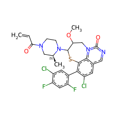 C=CC(=O)N1CCN(C2Sc3c(-c4cc(Cl)c(F)cc4F)c(Cl)cc4cnc(=O)n(c34)CC2OC)[C@@H](C)C1